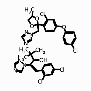 CC(C)(C)C(O)/C(=C\c1ccc(Cl)cc1Cl)n1cncn1.CC1COC(Cn2cncn2)(c2ccc(Oc3ccc(Cl)cc3)cc2Cl)O1